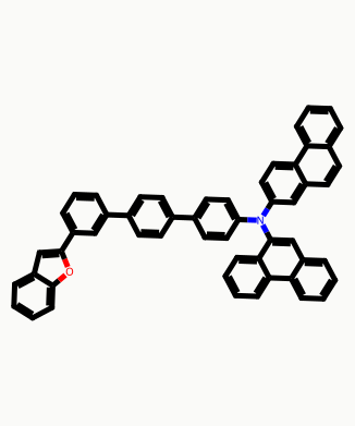 c1cc(-c2ccc(-c3ccc(N(c4ccc5c(ccc6ccccc65)c4)c4cc5ccccc5c5ccccc45)cc3)cc2)cc(-c2cc3ccccc3o2)c1